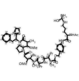 CCC(C)C(C(CC(=O)N1CCCC1C(OC)C(C)C(=O)NC(Cc1ccccc1)c1nccs1)OC)N(C)C(=O)C(NC(=O)C(C(C)C)N(C)C(=O)OCc1ccc(NC(=O)C(CCCNC(N)O)NC(C)=O)cc1)C(C)C